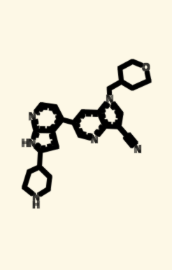 N#Cc1cn(CC2CCOCC2)c2cc(-c3ccnc4[nH]c(C5CCNCC5)cc34)cnc12